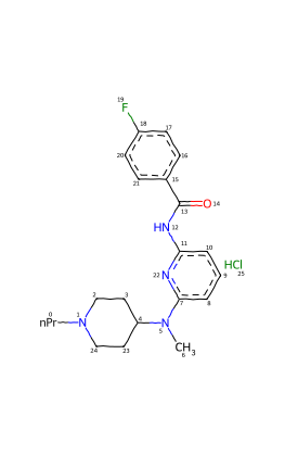 CCCN1CCC(N(C)c2cccc(NC(=O)c3ccc(F)cc3)n2)CC1.Cl